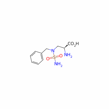 N[C@@H](CN(Cc1ccccc1)S(N)(=O)=O)C(=O)O